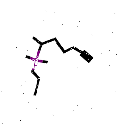 C#CCCCC(C)[PH](C)(C)CCC